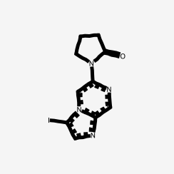 O=C1CCCN1c1cn2c(I)cnc2cn1